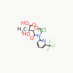 C[C@](O)(C(=O)O)[C@H]1OCCN(c2cccc(C(F)(F)F)n2)C1=O.Cl